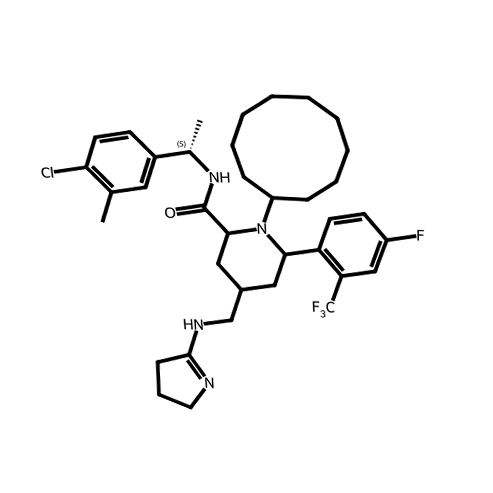 Cc1cc([C@H](C)NC(=O)C2CC(CNC3=NCCC3)CC(c3ccc(F)cc3C(F)(F)F)N2C2CCCCCCCCC2)ccc1Cl